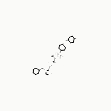 CC(C)(SCc1nccn1Cc1ccccc1)[C@@H](NS(=O)(=O)c1ccc(Oc2ccc(F)cc2)cc1)C(=O)O